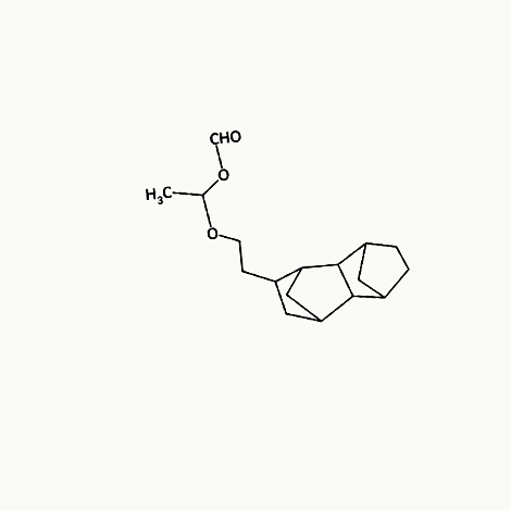 CC(OC=O)OCCC1CC2CC1C1C3CCC(C3)C21